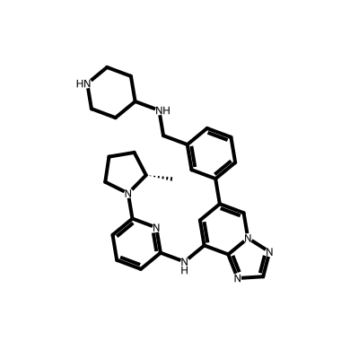 C[C@H]1CCCN1c1cccc(Nc2cc(-c3cccc(CNC4CCNCC4)c3)cn3ncnc23)n1